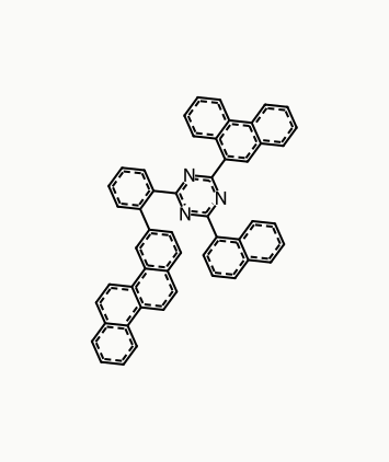 c1ccc(-c2nc(-c3cccc4ccccc34)nc(-c3cc4ccccc4c4ccccc34)n2)c(-c2ccc3ccc4c5ccccc5ccc4c3c2)c1